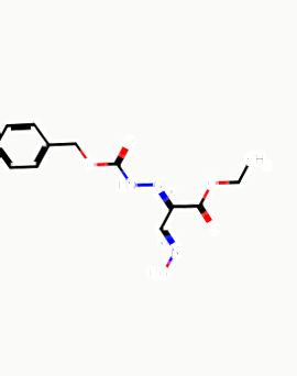 CCOC(=O)C(/C=N/O)=N/NC(=O)OCc1ccccc1